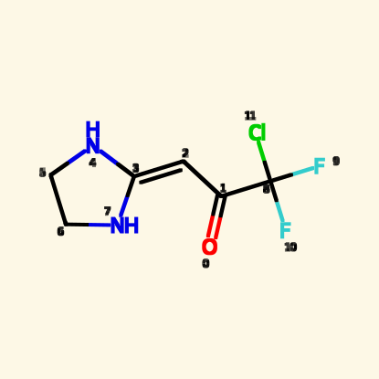 O=C(C=C1NCCN1)C(F)(F)Cl